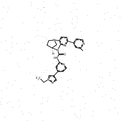 Cc1cc(-c2ccc3c(n2)N(C(=O)Nc2cc(-c4cnn(CC(F)(F)F)c4)ccn2)[C@H]2CCN3C2)ccn1